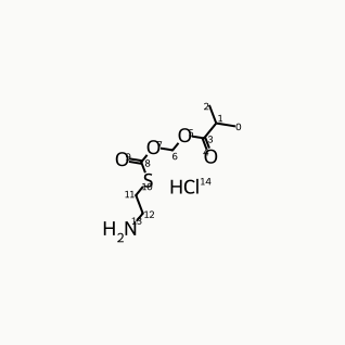 CC(C)C(=O)OCOC(=O)SCCN.Cl